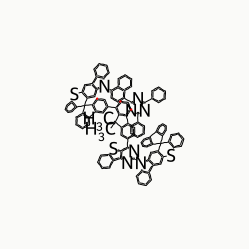 CC1(C)c2cc(-c3nc(-n4c5ccccc5c5cc6c(cc54)C4(c5ccccc5S6)c5ccccc5-c5ccccc54)nc4c3sc3ccccc34)ccc2-c2cccc(-c3ccc4c(c3)-c3ccccc3C43c4ccccc4Sc4cc5c6ccccc6n(-c6ccc(-c7nc(-c8ccccc8)nc(-c8ccccc8)n7)c7ccccc67)c5cc43)c21